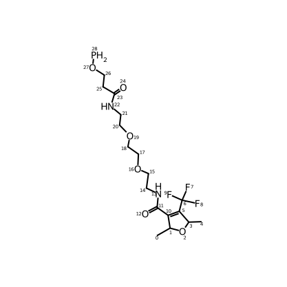 CC1OC(C)C(C(F)(F)F)=C1C(=O)NCCOCCOCCNC(=O)CCOP